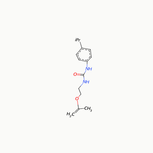 C=C(C)OCCNC(=O)Nc1ccc(C(C)C)cc1